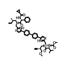 C#C[C@H](COC)CN(Cc1ncc(-c2ccc(-c3ccc(-c4cnc(CN(C[C@H](C)C=C)C(=O)[C@H](NC(=O)C5CC5)c5ccccc5)[nH]4)cc3)cc2)[nH]1)C(=O)[C@@H](NC(=O)OC)C(C)C